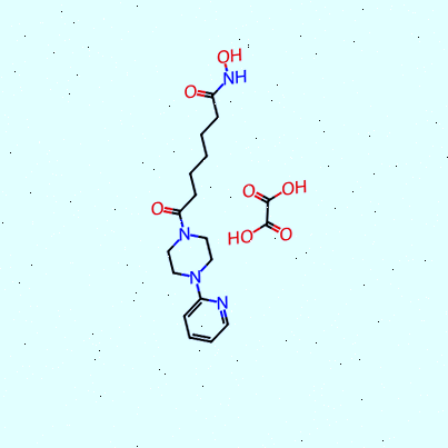 O=C(CCCCCC(=O)N1CCN(c2ccccn2)CC1)NO.O=C(O)C(=O)O